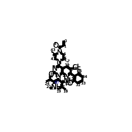 C=CC(=O)N1C[C@H](C)N(c2nc(=O)n(/C(C(=N)C(C)C)=C(/NC)C(C)C)c3nc(-c4c(O)cccc4F)c(Cl)cc23)C[C@H]1C